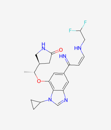 C[C@@H](Oc1cc(C(=N)/C=C\NCC(F)F)cc2ncn(C3CC3)c12)[C@H]1CNC(=O)C1